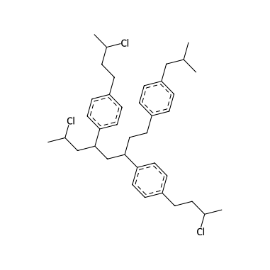 CC(C)Cc1ccc(CCC(CC(CC(C)Cl)c2ccc(CCC(C)Cl)cc2)c2ccc(CCC(C)Cl)cc2)cc1